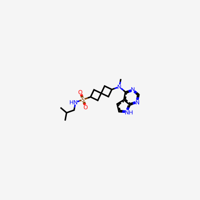 CC(C)CNS(=O)(=O)C1CC2(CC(N(C)c3ncnc4[nH]ccc34)C2)C1